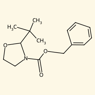 CC(C)(C)C1OCCN1C(=O)OCc1ccccc1